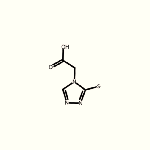 O=C(O)Cn1cnnc1[S]